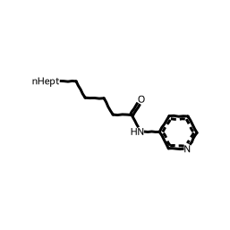 CCCCCCCCCCCC(=O)Nc1cccnc1